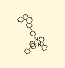 c1ccc(-c2ccc(N(c3ccc(-c4ccc5c(ccc6ccc7ccccc7c65)c4)cc3)c3cccc4c5ccccc5n(-c5ccccc5)c34)cc2)cc1